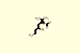 C/C=C/C(C#N)=C/C1[C@@H](C(=O)Cl)C1(C)C